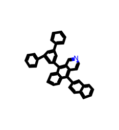 c1ccc(-c2cc(-c3ccccc3)cc(-c3c4ccccc4c(-c4ccc5ccccc5c4)c4ccncc34)c2)cc1